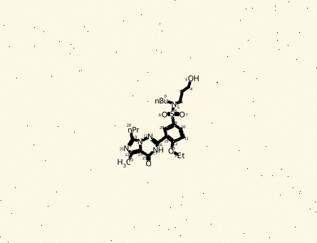 CCCCN(CCCO)S(=O)(=O)c1ccc(OCC)c(-c2nn3c(CCC)nc(C)c3c(=O)[nH]2)c1